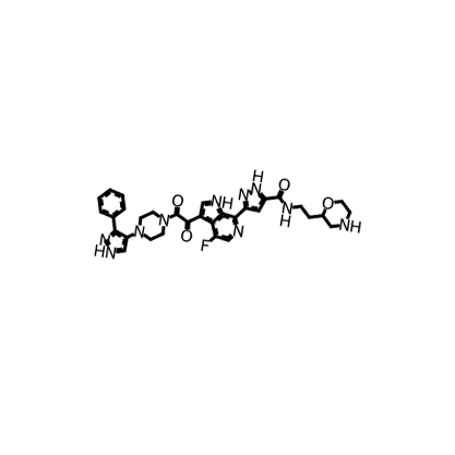 O=C(NCCC1CNCCO1)c1cc(-c2ncc(F)c3c(C(=O)C(=O)N4CCN(c5c[nH]nc5-c5ccccc5)CC4)c[nH]c23)n[nH]1